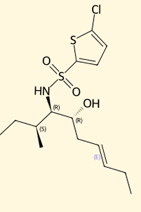 CC/C=C/C[C@@H](O)[C@H](NS(=O)(=O)c1ccc(Cl)s1)[C@@H](C)CC